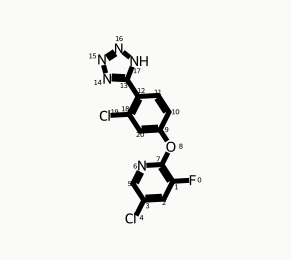 Fc1cc(Cl)cnc1Oc1ccc(-c2nnn[nH]2)c(Cl)c1